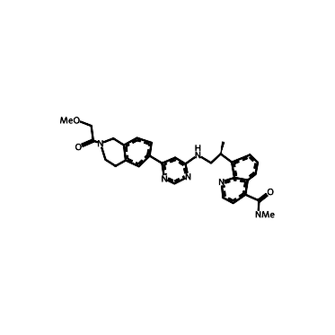 CNC(=O)c1ccnc2c([C@H](C)CNc3cc(-c4ccc5c(c4)CCN(C(=O)COC)C5)ncn3)cccc12